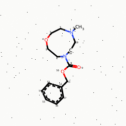 CN1CCOCCN(C(=O)OCc2ccccc2)CC1